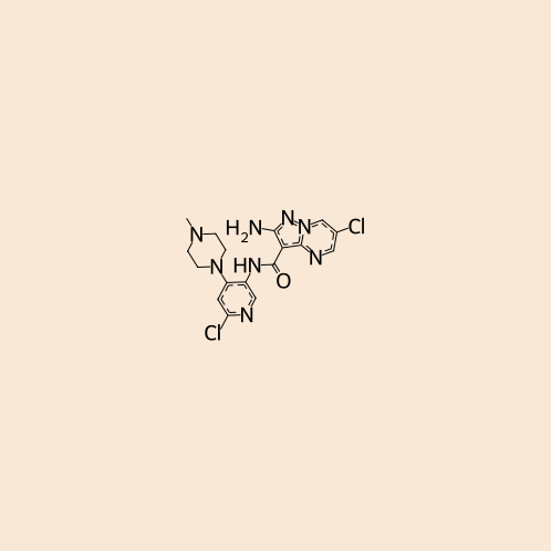 CN1CCN(c2cc(Cl)ncc2NC(=O)c2c(N)nn3cc(Cl)cnc23)CC1